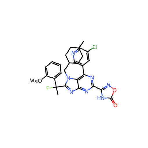 COc1ccccc1C(C)(F)c1nc2nc(-c3noc(=O)[nH]3)nc(-c3cncc(Cl)c3)c2n1CC1CCC(C)CC1